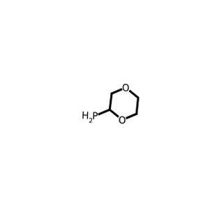 PC1COCCO1